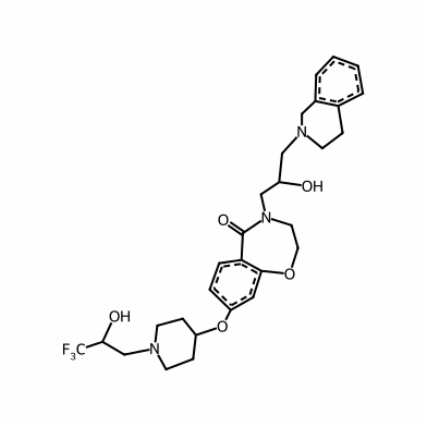 O=C1c2ccc(OC3CCN(CC(O)C(F)(F)F)CC3)cc2OCCN1CC(O)CN1CCc2ccccc2C1